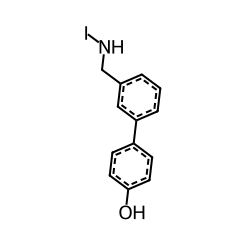 Oc1ccc(-c2cccc(CNI)c2)cc1